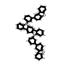 c1cc(-c2ccc3oc4ccccc4c3c2)cc(-n2c3ccccc3c3cc4c(cc32)c2ccccc2n4-c2cccc(-c3ccc4oc5ccccc5c4c3)c2)c1